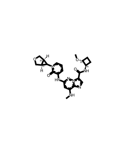 CNc1cc(Nc2cccn(C3[C@H]4COC[C@@H]34)c2=O)nn2c(C(=O)N[C@@H]3CC[C@H]3OC)cnc12